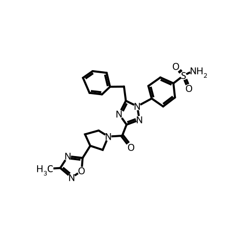 Cc1noc(C2CCN(C(=O)c3nc(Cc4ccccc4)n(-c4ccc(S(N)(=O)=O)cc4)n3)C2)n1